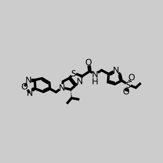 CCS(=O)(=O)c1ccc(CNC(=O)c2nc3c(s2)CN(Cc2ccc4nonc4c2)[C@H]3C(C)C)nc1